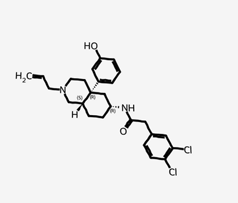 C=CCN1CC[C@@]2(c3cccc(O)c3)C[C@H](NC(=O)Cc3ccc(Cl)c(Cl)c3)CC[C@@H]2C1